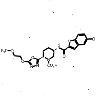 O=C(N[C@H]1CC[C@H](c2nnc(OCCOC(F)(F)F)o2)N(C(=O)O)C1)c1cc2cc(Cl)ccc2o1